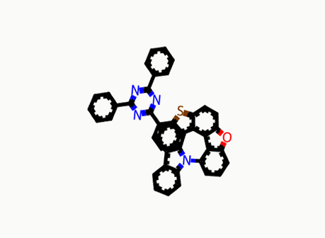 c1ccc(-c2nc(-c3ccccc3)nc(-c3cccc4c3sc3ccc5oc6cccc(-n7c8ccccc8c8ccccc87)c6c5c34)n2)cc1